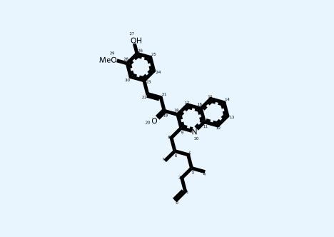 C=CCC(C)CC(C)Cc1nc2ccccc2cc1C(=O)C=Cc1ccc(O)c(OC)c1